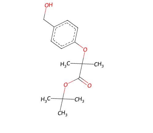 CC(C)(C)OC(=O)C(C)(C)Oc1ccc(CO)cc1